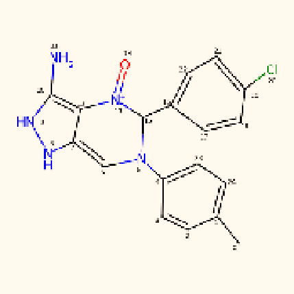 Cc1ccc(N2C=C3NNC(N)=C3[N+](=O)C2c2ccc(Cl)cc2)cc1